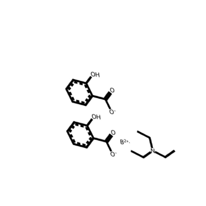 CCN(CC)CC.O=C([O-])c1ccccc1O.O=C([O-])c1ccccc1O.[B+2]